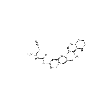 Cc1c(-c2cc3cc(NC(=O)N[C@H](C)CC#N)ncc3cc2F)cnc2c1NCCO2